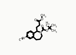 [C-]#[N+]c1ccc2c(c1)CCCN(C(=O)OC(C)(C)C)C2CCC(=O)OC